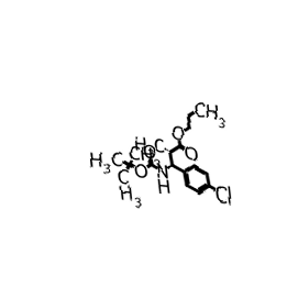 CCCOC(=O)[C@@H](C)[C@H](NC(=O)OC(C)(C)C)c1ccc(Cl)cc1